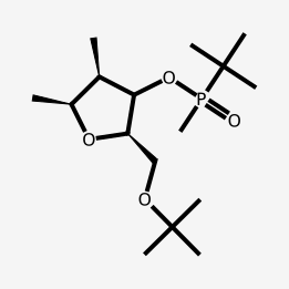 C[C@@H]1O[C@H](COC(C)(C)C)C(OP(C)(=O)C(C)(C)C)[C@@H]1C